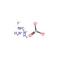 [F-].[NH4+].[NH4+].[NH4+].[O]=[Ti]([O-])[O-]